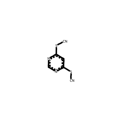 N#CSc1cc(SC#N)ncn1